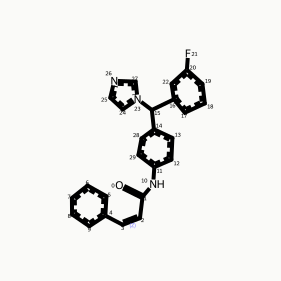 O=C(/C=C\c1ccccc1)Nc1ccc(C(c2cccc(F)c2)n2ccnc2)cc1